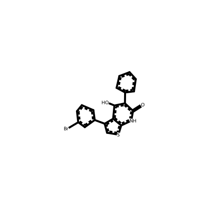 O=c1[nH]c2scc(-c3cccc(Br)c3)c2c(O)c1-c1ccccc1